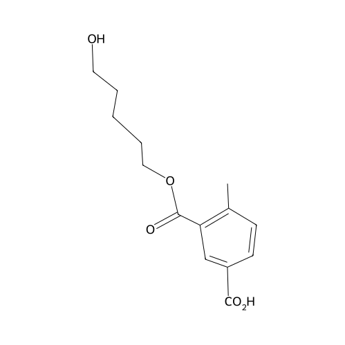 Cc1ccc(C(=O)O)cc1C(=O)OCCCCCO